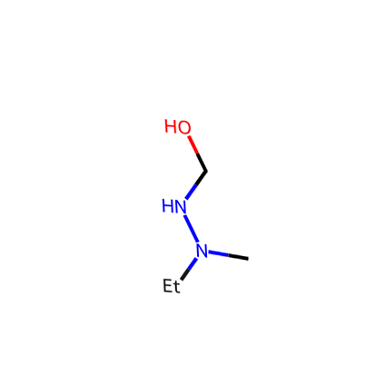 CCN(C)NCO